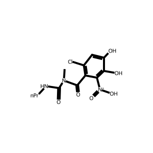 CCCNC(=O)N(C)C(=O)c1c(Cl)cc(O)c(O)c1[N+](=O)O